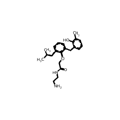 Cc1cccc(Cc2cccc(CC(C)C)c2OCC(=O)NCCN)c1O